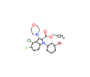 CCOC(=O)c1c(N2CCOCC2)c2c(Cl)c(F)ccc2n1-c1cccc(Br)c1